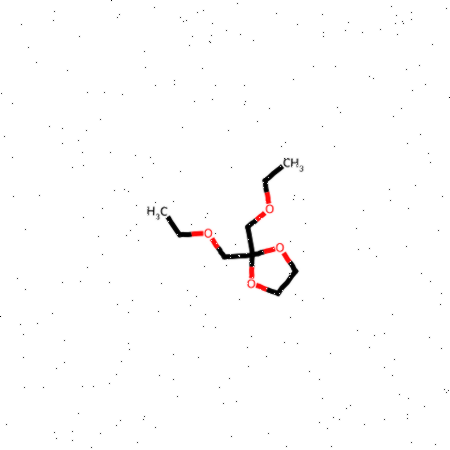 CCOCC1(COCC)OCCO1